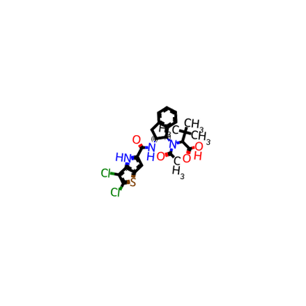 CC(=O)N(C(C(=O)O)C(C)(C)C)[C@@H]1c2ccccc2C[C@H]1NC(=O)c1cc2sc(Cl)c(Cl)c2[nH]1